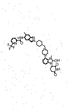 Cc1cc2nn([C@H]3CC[C@H](CN4CCN(c5cccc6c5N(C)C(O)N6[C@H]5CCC(=O)NC5=O)CC4)CC3)cc2cc1NC(=O)c1cccc(C(F)(F)F)n1